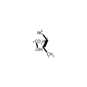 C/C=C/C#N.O=C(O)O